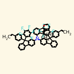 C=Cc1ccc(C2(c3c(F)c(F)c(F)c(F)c3F)c3ccccc3-c3ccc(N(c4ccc5c(c4)C(c4ccc(C=C)cc4)(c4c(F)c(F)c(F)c(F)c4F)c4ccccc4-5)c4cccc5c4C(C)(C)c4ccccc4-5)cc32)cc1